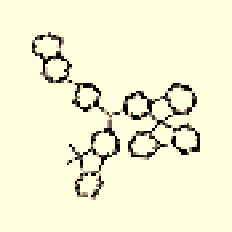 CC1(C)c2ccccc2-c2ccc(N(c3ccc(-c4ccc5ccccc5c4)cc3)c3ccc4c(c3)C3(c5ccccc5-c5ccccc53)c3ccccc3-4)cc21